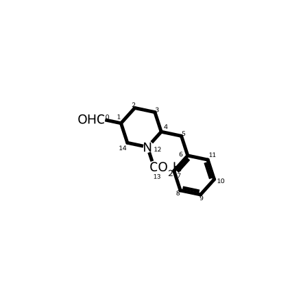 O=CC1CCC(Cc2ccccc2)N(C(=O)O)C1